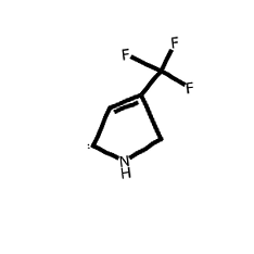 FC(F)(F)C1=C[C]NC1